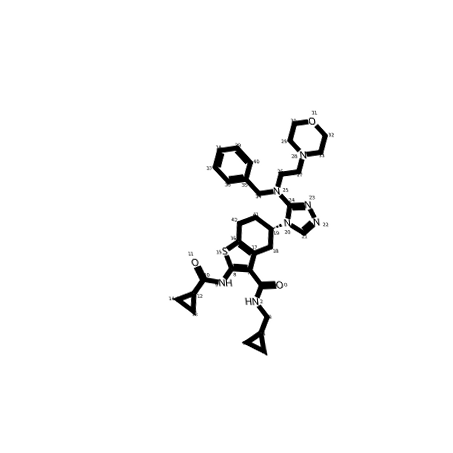 O=C(NCC1CC1)c1c(NC(=O)C2CC2)sc2c1C[C@@H](n1cnnc1N(CCN1CCOCC1)Cc1ccccc1)CC2